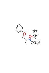 CC(COc1ccccc1)N(O[Si](C)(C)C(C)(C)C)C(=O)O